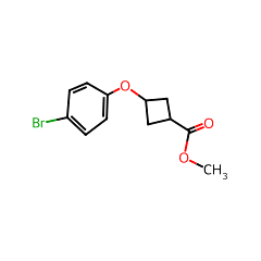 COC(=O)C1CC(Oc2ccc(Br)cc2)C1